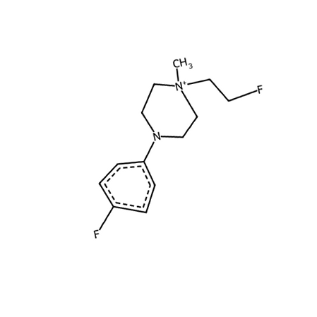 C[N+]1(CCF)CCN(c2ccc(F)cc2)CC1